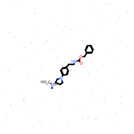 CN(C(=O)O)[C@@H]1CCN(c2ccc(CCNC(=O)OCc3ccccc3)cc2)C1